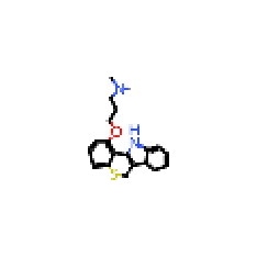 CN(C)CCCOc1cccc2c1C1=C(CS2)C2CC=CC=C2N1